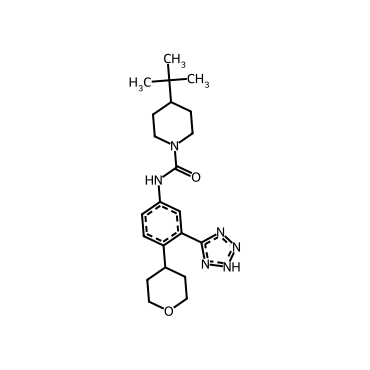 CC(C)(C)C1CCN(C(=O)Nc2ccc(C3CCOCC3)c(-c3nn[nH]n3)c2)CC1